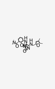 Cc1cc(CNc2n[s+]([O-])nc2Nc2cccc(C(=O)N(C)C)c2O)oc1C